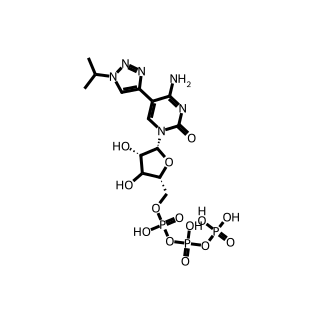 CC(C)n1cc(-c2cn([C@@H]3O[C@H](COP(=O)(O)OP(=O)(O)OP(=O)(O)O)C(O)[C@@H]3O)c(=O)nc2N)nn1